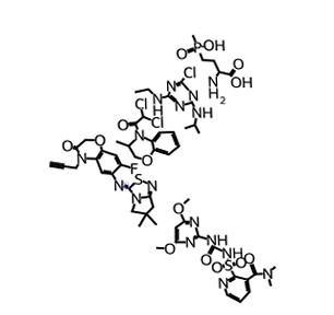 C#CCN1C(=O)COc2cc(F)c(/N=c3\snc4n3CC(C)(C)C4)cc21.CC1COc2ccccc2N1C(=O)C(Cl)Cl.CCNc1nc(Cl)nc(NC(C)C)n1.COc1cc(OC)nc(NC(=O)NS(=O)(=O)c2ncccc2C(=O)N(C)C)n1.CP(=O)(O)CCC(N)C(=O)O